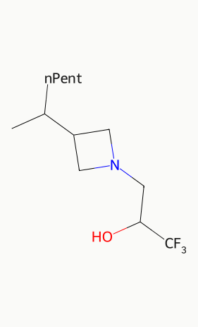 CCCCCC(C)C1CN(CC(O)C(F)(F)F)C1